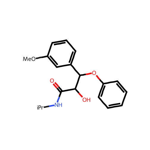 COc1cccc(C(Oc2ccccc2)C(O)C(=O)NC(C)C)c1